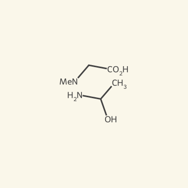 CC(N)O.CNCC(=O)O